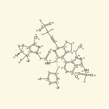 CC(C)(C#Cc1nc([C@H](Cc2cc(F)cc(F)c2)NC(=O)Cn2nc(C(F)(F)F)c3c2C(F)(F)[C@@H]2CC32)c(-c2ccc(Cl)c3c(NS(C)(=O)=O)nn(CC(F)(F)F)c23)c2c1CCC2)S(C)(=O)=O